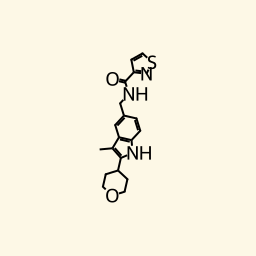 Cc1c(C2CCOCC2)[nH]c2ccc(CNC(=O)c3ccsn3)cc12